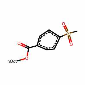 CCCCCCCCOC(=O)c1ccc(S(C)(=O)=O)cc1